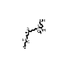 COCCC(=O)NCCCN(C)C(=O)CCCCOC1OC(CO)CCC1NC(C)=O